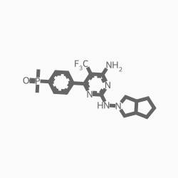 CP(C)(=O)c1ccc(-c2nc(NN3CC4CCCC4C3)nc(N)c2C(F)(F)F)cc1